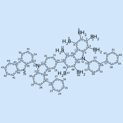 Bc1c(B)c(B)c2c(c1B)c1c(B)c(-c3ccc4c(c3)c3c(-c5ccccc5)cccc3n4-c3cccc4c3sc3ccccc34)c(B)c(B)c1n2-c1cccc(-c2ccccc2)c1